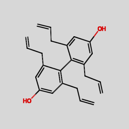 C=CCc1cc(O)cc(CC=C)c1-c1c(CC=C)cc(O)cc1CC=C